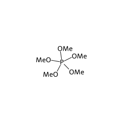 COP(OC)(OC)(OC)OC